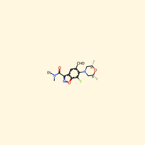 CCN(C)C(=O)c1noc2c(F)c(N3C[C@@H](C)O[C@@H](C)C3)c(C=O)cc12